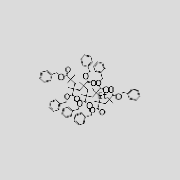 CCC(C)(CC(C)(CC(C)(CC(C)(CC(C)(CC(C)(CC(C)(C)C(=O)OCc1ccccc1)C(=O)OCc1ccccc1)C(=O)OCc1ccccc1)C(=O)OCc1ccccc1)C(=O)OCc1ccccc1)C(=O)OCc1ccccc1)C(=O)OCc1ccccc1